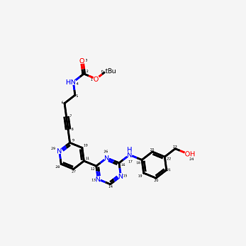 CC(C)(C)OC(=O)NCCC#Cc1cc(-c2ncnc(Nc3cccc(CO)c3)n2)ccn1